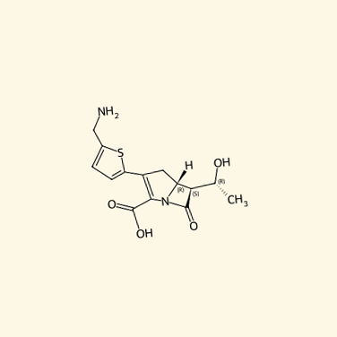 C[C@@H](O)[C@H]1C(=O)N2C(C(=O)O)=C(c3ccc(CN)s3)C[C@H]12